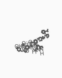 CC(C)c1ccccc1[C@H]1CCCN1C1CC2(CCN(c3ccc(C(=O)NS(=O)(=O)c4cc5c(c([N+](=O)[O-])c4)O[C@H](CC4CCC(C)(O)CC4)CO5)c(Oc4cc5cc[nH]c5nc4OC(F)F)c3)CC2)C1